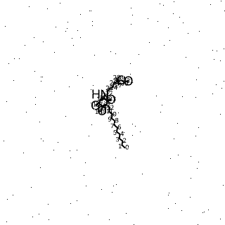 CCCCCCCCCCCCCC1=C(OC)C(=O)C=C(NCCCCC(C)(C)OC=O)C1=O